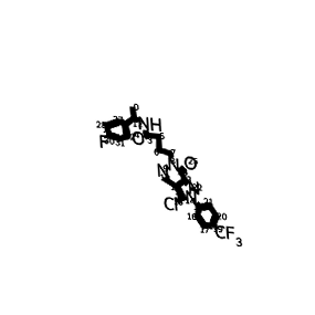 CC(NC(=O)CCCn1ncc2c(Cl)n(-c3ccc(C(F)(F)F)cc3)nc2c1=O)c1ccc(F)cc1